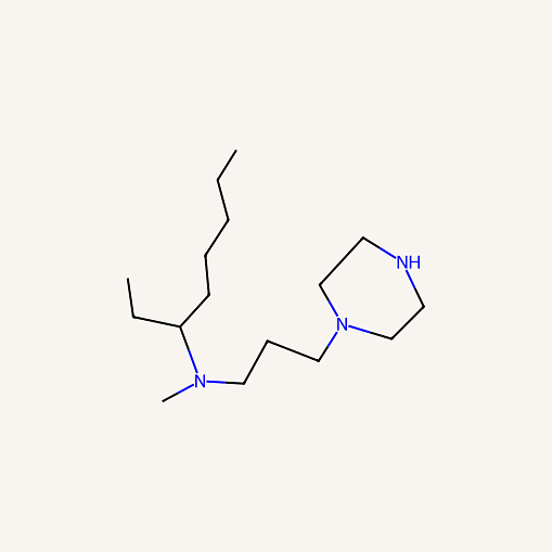 CCCCCC(CC)N(C)CCCN1CCNCC1